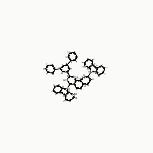 c1ccc(-c2cc(-c3ccccc3)cc(-c3nc(-n4c5ccccc5c5cccnc54)c4ccc5ccc(-n6c7ccccc7c7cccnc76)nc5c4n3)c2)cc1